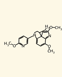 COC1=CC23C(=CC=C(OC)C2=N1)N(c1ccc(OC)nc1)CCC3C